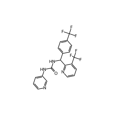 O=C(Nc1cccnc1)NC(c1ccc(C(F)(F)F)cc1)c1ncccc1C(F)(F)F